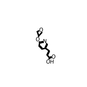 O=C(O)/C=C/c1ccc(OC2COC2)nc1